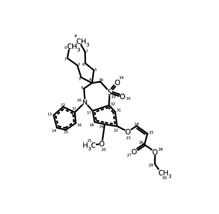 CCCCC1(CCCC)CN(c2ccccc2)c2cc(OC)c(O/C=C\C(=O)OCC)cc2S(=O)(=O)C1